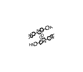 CCN1CC=C(c2ccc3nc(-c4ccn5nc(C)cc5c4)cc(=O)n3c2)CC1.Cc1cc2cc(-c3cc(=O)n4cc(C5=CCNCC5)ccc4n3)ccn2n1